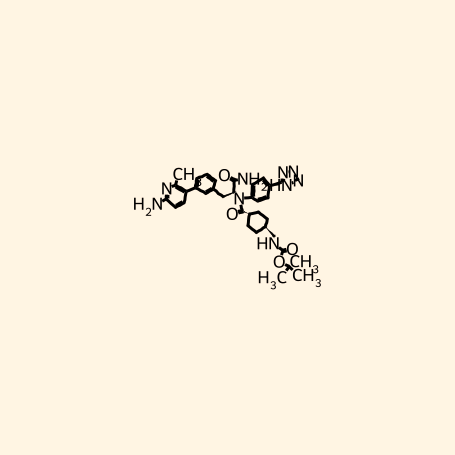 Cc1nc(N)ccc1-c1cccc(C[C@@H](C(N)=O)N(c2ccc(-c3nnn[nH]3)cc2)C(=O)[C@H]2CC[C@H](CNC(=O)OC(C)(C)C)CC2)c1